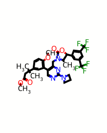 COC(=O)CC(C)(C)c1ccc(OC)c(-c2cnc(N3CCC3)nc2CN2C(=O)OC(c3cc(C(F)(F)F)cc(C(F)(F)F)c3)C2C)c1